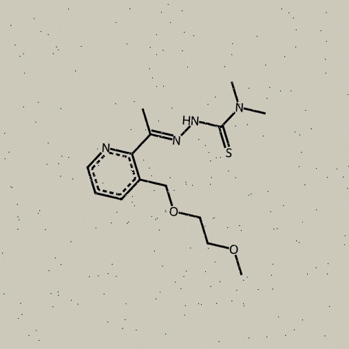 COCCOCc1cccnc1C(C)=NNC(=S)N(C)C